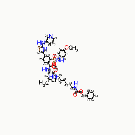 COc1ccc(NS(=O)(=O)c2cc(-c3csc(Nc4cccnc4)n3)ccc2C(=O)N[C@@H](CC(C)C)C(=O)NCCCCCCNC(=O)OCc2ccccc2)cc1